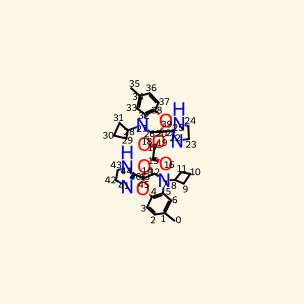 Cc1ccc2c(c1)N(C1CCC1)CC(OC(=O)C(=O)OC1(C3=NCCN3)CN(C3CCC3)c3cc(C)ccc3O1)(C1=NCCN1)O2